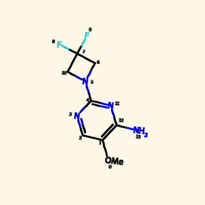 COc1cnc(N2CC(F)(F)C2)nc1N